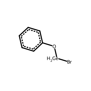 [Br][GeH2][O]c1ccccc1